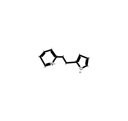 c1ccc(CCc2ccco2)nc1